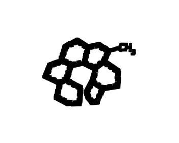 Cc1cc2ccc3ccc4ccccc4c3c2c2c1ccc1ccccc12